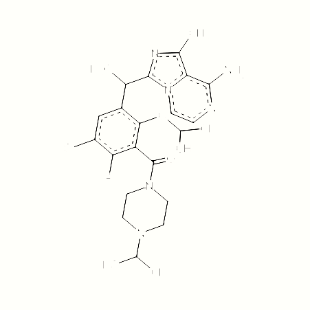 Cc1nc(C(C)c2cc(Cl)c(F)c(C(=O)N3CCN(C(C)C)CC3)c2OC(C)C)n2ccnc(N)c12